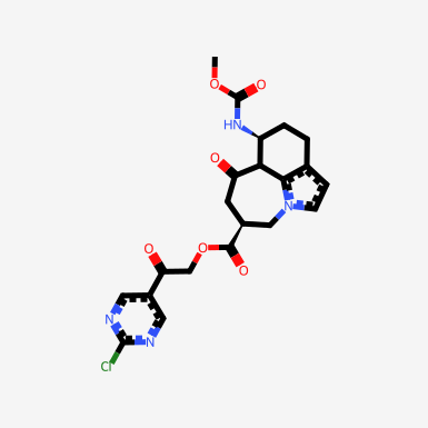 COC(=O)N[C@H]1CCc2ccn3c2C1C(=O)C[C@H](C(=O)OCC(=O)c1cnc(Cl)nc1)C3